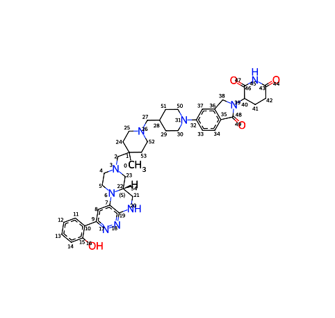 CC1(CN2CCN3c4cc(-c5ccccc5O)nnc4NC[C@H]3C2)CCN(CC2CCN(c3ccc4c(c3)CN(C3CCC(=O)NC3=O)C4=O)CC2)CC1